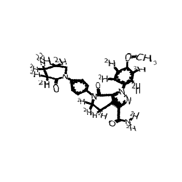 [2H]c1c([2H])c(-n2nc(C(=O)N([2H])[2H])c3c2C(=O)N(c2ccc(N4CC([2H])([2H])C([2H])([2H])C([2H])([2H])C4=O)cc2)C([2H])([2H])C3([2H])[2H])c([2H])c([2H])c1OC